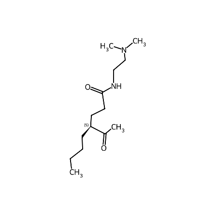 CCCC[C@@H](CCC(=O)NCCN(C)C)C(C)=O